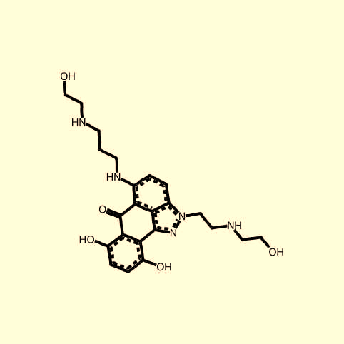 O=C1c2c(O)ccc(O)c2-c2nn(CCNCCO)c3ccc(NCCCNCCO)c1c23